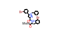 CNC(=O)[C@H](Cc1cccc(Br)c1)NC(=O)c1cc(-c2cccc(Br)c2)n(Cc2ccccc2)n1